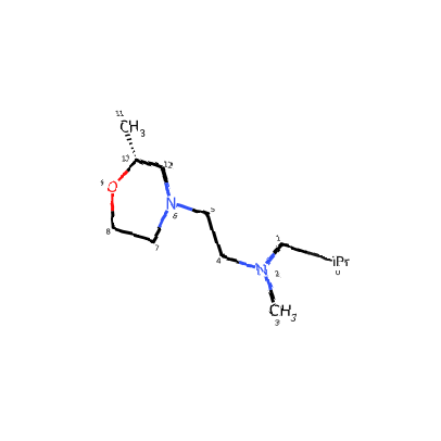 CC(C)CN(C)CCN1CCO[C@H](C)C1